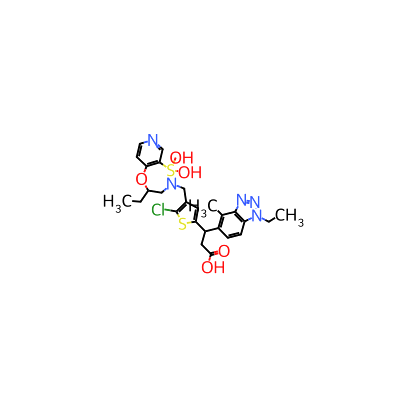 CCC1CN(Cc2cc(C(CC(=O)O)c3ccc4c(nnn4CC)c3C)sc2Cl)S(O)(O)c2cnccc2O1